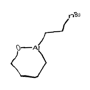 CCCCC[CH2][Al]1[CH2]CCC[O]1